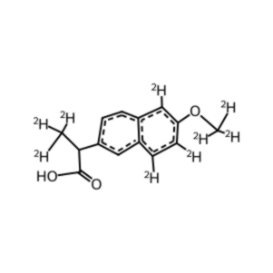 [2H]c1c(OC([2H])([2H])[2H])c([2H])c2ccc(C(C(=O)O)C([2H])([2H])[2H])cc2c1[2H]